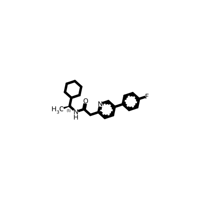 C[C@H](NC(=O)Cc1ccc(-c2ccc(F)cc2)cn1)C1CCCCC1